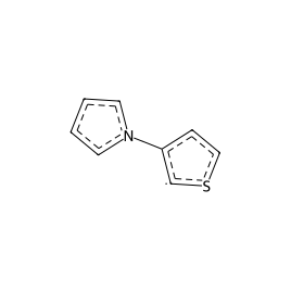 [c]1sccc1-n1cccc1